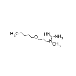 CCCCCOCCCN(C)C(=N)N